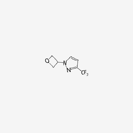 FC(F)(F)c1ccn(C2COC2)n1